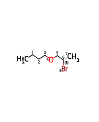 CCCCOC[C@H](C)Br